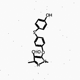 Cc1nn(C)c(Oc2ccc(Sc3ccc(O)cc3)cc2)c1C=O